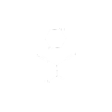 C1CNCCN1.N#CC(C#N)C(N)=O